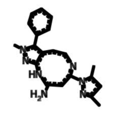 Cc1cc(C)n(-c2cc(N)[nH]c3nn(C)c(-c4ccccc4)c3ccn2)n1